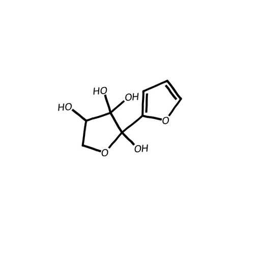 OC1COC(O)(c2ccco2)C1(O)O